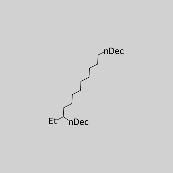 [CH2]CC(CCCCCCCCCC)CCCCCCCCCCCCCCCCCCC